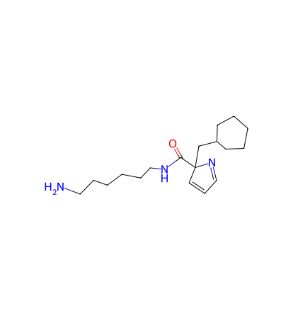 NCCCCCCNC(=O)C1(CC2CCCCC2)C=CC=N1